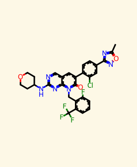 Cc1nc(-c2ccc(-c3cc4cnc(NC5CCOCC5)nc4n(Cc4c(F)cccc4C(F)(F)F)c3=O)c(Cl)c2)no1